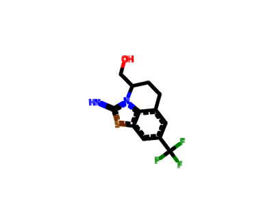 N=c1sc2cc(C(F)(F)F)cc3c2n1C(CO)CC3